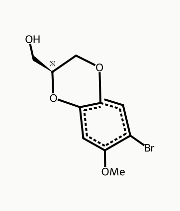 COc1cc2c(cc1Br)OC[C@H](CO)O2